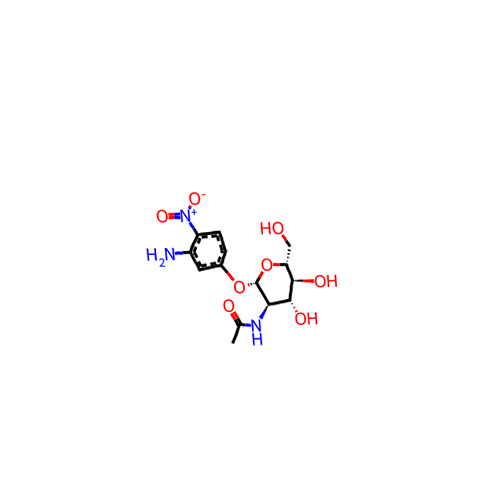 CC(=O)N[C@H]1[C@H](Oc2ccc([N+](=O)[O-])c(N)c2)O[C@H](CO)[C@@H](O)[C@@H]1O